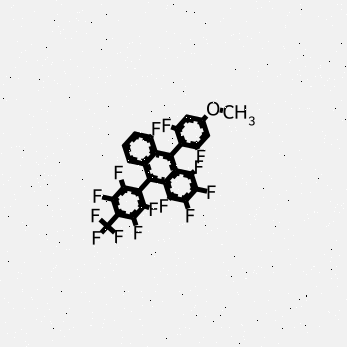 COc1cc(F)c(-c2c3c(F)cccc3c(-c3c(F)c(F)c(C(F)(F)F)c(F)c3F)c3c(F)c(F)c(F)c(F)c23)c(F)c1